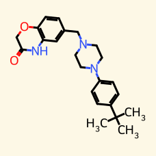 CC(C)(C)c1ccc(N2CCN(Cc3ccc4c(c3)NC(=O)CO4)CC2)cc1